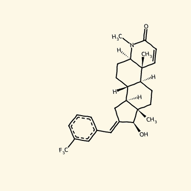 CN1C(=O)C=C[C@]2(C)[C@H]3CC[C@]4(C)[C@@H](O)/C(=C/c5cccc(C(F)(F)F)c5)C[C@H]4[C@@H]3CC[C@@H]12